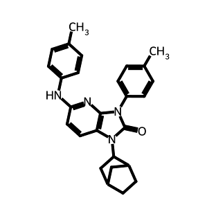 Cc1ccc(Nc2ccc3c(n2)n(-c2ccc(C)cc2)c(=O)n3C2CC3CCC2C3)cc1